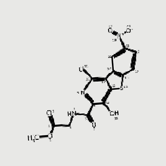 COC(=O)CNC(=O)c1nc(Cl)c2c(sc3ccc([N+](=O)[O-])cc32)c1O